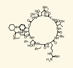 CC[C@H](C)C1NC(=O)[C@@H](CCCNC(=N)N)NC(=O)[C@H](CC(C)C)NC(=O)[C@H]([C@H](O)C(C)C)NC(=O)[C@@H](NC(=O)[C@H](CC(C)C)NC(=O)[C@H]2CCCCN2)[C@@H](c2ccccc2)OC(=O)[C@H](CO)NC(=O)[C@H]([C@H](O)C(N)=O)NC(=O)CNC(=O)C([C@H](C)O)NC1=O